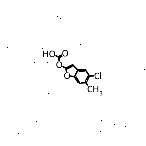 Cc1cc2oc(OC(=O)O)cc2cc1Cl